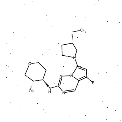 O[C@@H]1COCC[C@H]1Nc1ncc2c(F)cc(N3CC[C@H](CC(F)(F)F)C3)n2n1